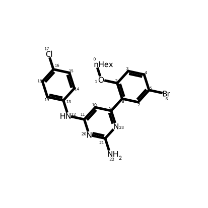 CCCCCCOc1ccc(Br)cc1-c1cc(Nc2ccc(Cl)cc2)nc(N)n1